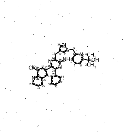 CC(C)(O)c1cccc(Cn2cc(Cc3nc(-c4cc(Cl)c5ncccc5c4)c(-c4ccccc4)nc3N)cn2)n1